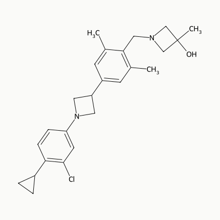 Cc1cc(C2CN(c3ccc(C4CC4)c(Cl)c3)C2)cc(C)c1CN1CC(C)(O)C1